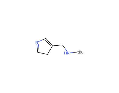 CC(C)(C)NCC1=CN=CC1